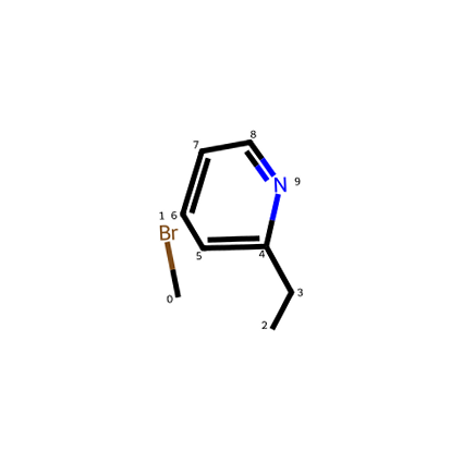 CBr.CCc1ccccn1